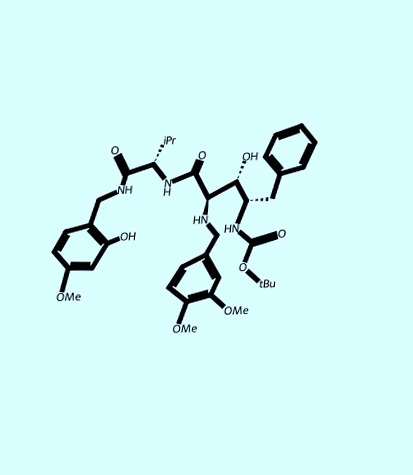 COc1ccc(CNC(=O)[C@@H](NC(=O)[C@H](NCc2ccc(OC)c(OC)c2)[C@H](O)[C@H](Cc2ccccc2)NC(=O)OC(C)(C)C)C(C)C)c(O)c1